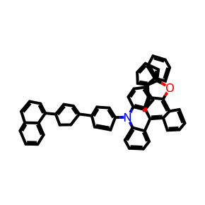 C1=C(c2ccc(N(c3ccc(-c4ccccc4)cc3)c3ccccc3-c3cc4c5ccccc5oc4c4ccccc34)cc2)CCC(c2cccc3ccccc23)=C1